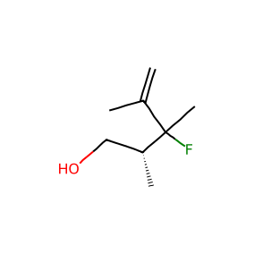 C=C(C)C(C)(F)[C@H](C)CO